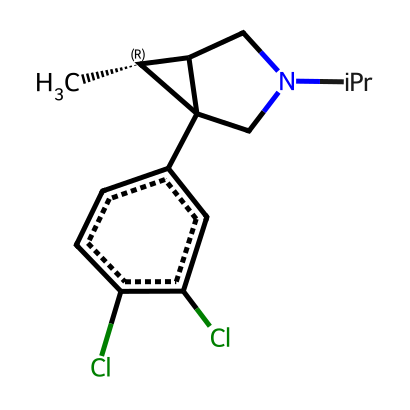 CC(C)N1CC2[C@@H](C)C2(c2ccc(Cl)c(Cl)c2)C1